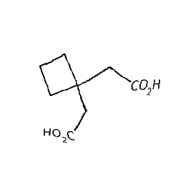 O=C(O)CC1(CC(=O)O)CCC1